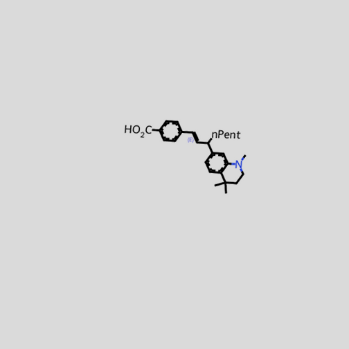 CCCCCC(/C=C/c1ccc(C(=O)O)cc1)c1ccc2c(c1)N(C)CCC2(C)C